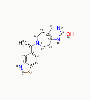 C[C@H](c1ccc2scnc2c1)N1CCc2cnc(O)nc2CC1